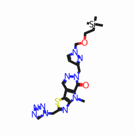 Cn1c2nc(Cn3cnnn3)sc2c2cnn(Cc3ccn(COCC[Si](C)(C)C)n3)c(=O)c21